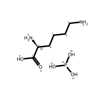 NCCCC[C@H](N)C(=O)O.OP(O)O